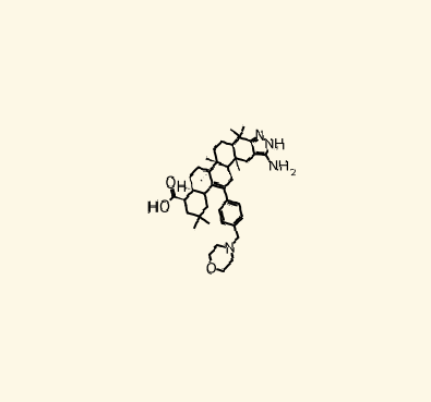 CC1(C)CC2C3=C(c4ccc(CN5CCOCC5)cc4)CC4[C@@]5(C)Cc6c(n[nH]c6N)C(C)(C)C5CC[C@@]4(C)[C@]3(C)CC[C@@H]2[C@H](C(=O)O)C1